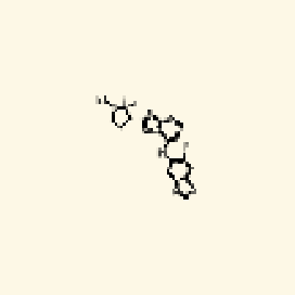 CCN1CC[C@@H](c2cc3c(Nc4cc5ncsc5cc4F)ccnc3s2)C1(C)C